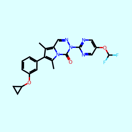 Cc1c(-c2cccc(OC3CC3)c2)c(C)n2c(=O)n(-c3ncc(OC(F)F)cn3)ncc12